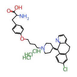 Cl.Cl.Cl.NC(Cc1ccc(OCCCCN2CCC(=C3c4ccc(Cl)cc4CCc4cccnc43)CC2)cc1)C(=O)O